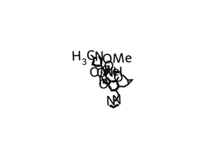 COc1cc(C)nc(OC)c1S(=O)(=O)Nc1noc2cc(Cn3cccn3)c3c(c12)OCC1CC1C3